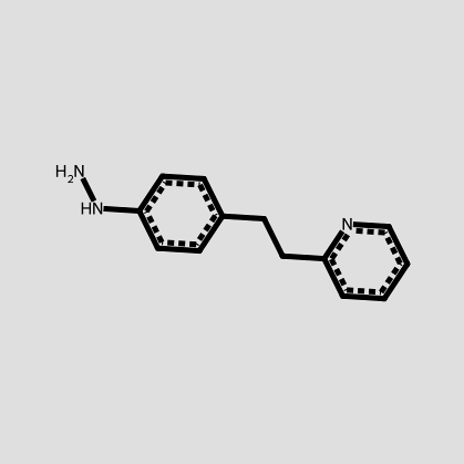 NNc1ccc(CCc2ccccn2)cc1